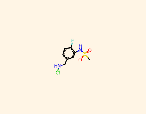 CS(=O)(=O)Nc1cc(CNCl)ccc1F